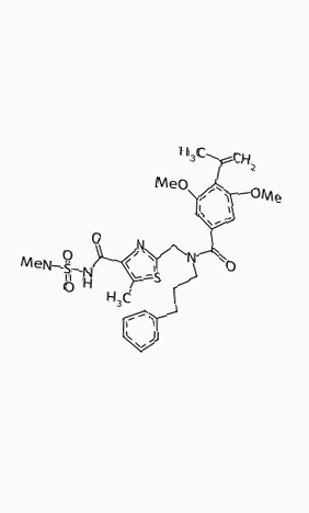 C=C(C)c1c(OC)cc(C(=O)N(CCCc2ccccc2)Cc2nc(C(=O)NS(=O)(=O)NC)c(C)s2)cc1OC